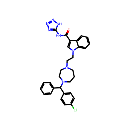 O=C(Nc1nnn[nH]1)c1cn(CCN2CCCN(C(c3ccccc3)c3ccc(Cl)cc3)CC2)c2ccccc12